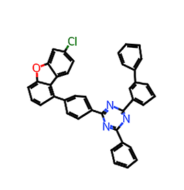 Clc1ccc2c(c1)oc1cccc(-c3ccc(-c4nc(-c5ccccc5)nc(-c5cccc(-c6ccccc6)c5)n4)cc3)c12